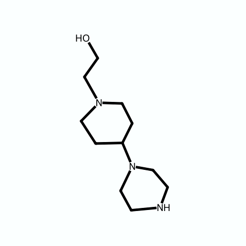 OCCN1CCC(N2CCNCC2)CC1